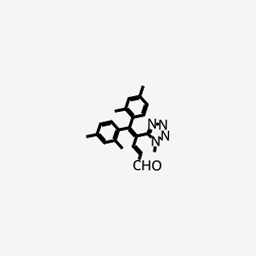 Cc1ccc(C(=C(C=CC=O)c2nnnn2C)c2ccc(C)cc2C)c(C)c1